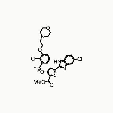 COC(=O)c1sc(-c2nc3cc(Cl)ccc3[nH]2)cc1O[C@H](C)c1cccc(OCCN2CCOCC2)c1Cl